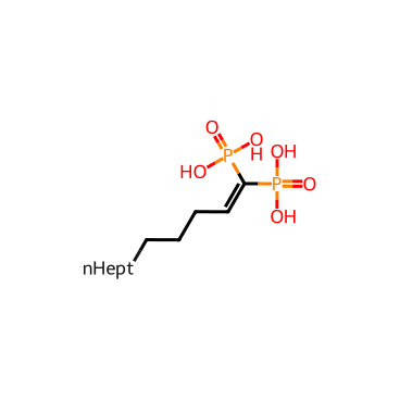 CCCCCCCCCCC=C(P(=O)(O)O)P(=O)(O)O